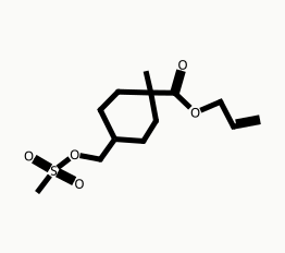 C=CCOC(=O)C1(C)CCC(COS(C)(=O)=O)CC1